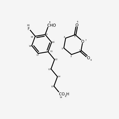 O=C1CCCC(=O)O1.O=Cc1cc(CCCCC(=O)O)ccc1F